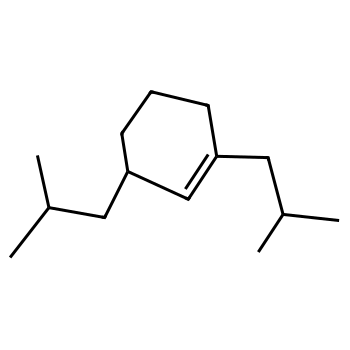 CC(C)CC1=CC(CC(C)C)CCC1